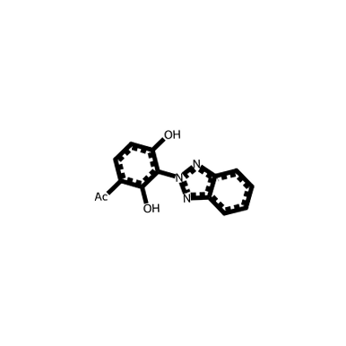 CC(=O)c1ccc(O)c(-n2nc3ccccc3n2)c1O